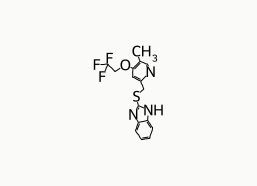 Cc1cnc(CSc2nc3ccccc3[nH]2)cc1OCC(F)(F)F